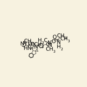 Cc1nn(COC(=O)[C@@H](N)C(C)C)c(C)c1-c1ccc([N+]2(C)C(=O)[C@@H](NC(=O)c3ccnn3C)C3c4ccccc4CC34CC42)cc1